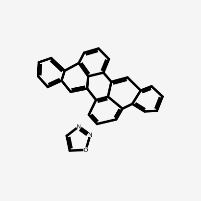 c1ccc2c(c1)cc1c3cccc4c5ccccc5cc(c5cccc2c51)c43.c1conn1